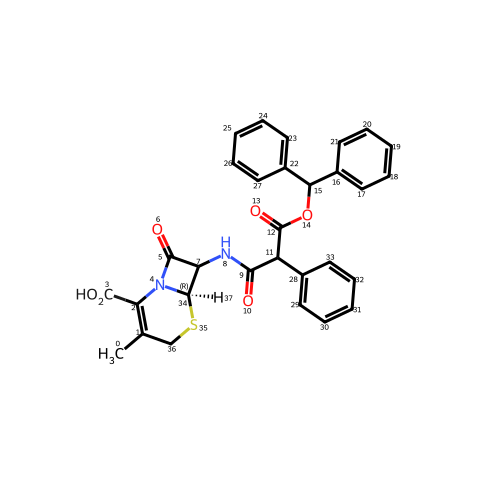 CC1=C(C(=O)O)N2C(=O)C(NC(=O)C(C(=O)OC(c3ccccc3)c3ccccc3)c3ccccc3)[C@H]2SC1